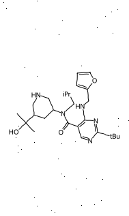 CC(C)CN(C(=O)c1cnc(C(C)(C)C)nc1NCc1ccco1)C1CNCC(C(C)(C)O)C1